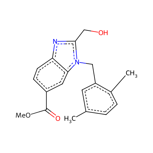 COC(=O)c1ccc2nc(CO)n(Cc3cc(C)ccc3C)c2c1